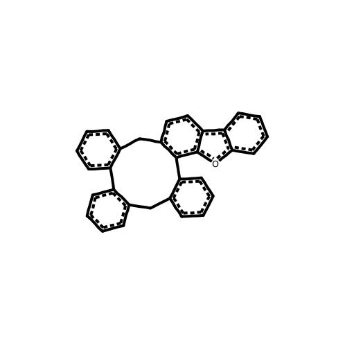 c1ccc2c(c1)Cc1ccccc1-c1c(ccc3c1oc1ccccc13)Cc1ccccc1-2